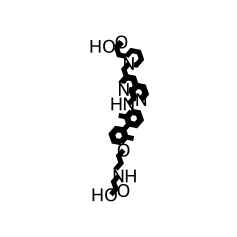 Cc1c(Nc2nccc3cc(CN4CCCCC4CC(=O)O)cnc23)cccc1-c1cccc(OCCCNCC(=O)O)c1C